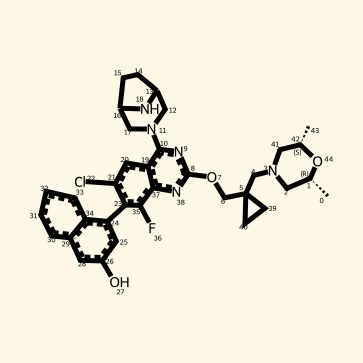 C[C@@H]1CN(CC2(COc3nc(N4CC5CCC(C4)N5)c4cc(Cl)c(-c5cc(O)cc6ccccc56)c(F)c4n3)CC2)C[C@H](C)O1